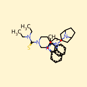 CCN(CC)C(=S)N1CCC(CCN2C3CCC2CC(n2c(C)nc4ccccc42)C3)(c2ccccc2)CC1